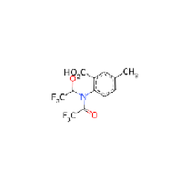 Cc1ccc(N(C(=O)C(F)(F)F)C(=O)C(F)(F)F)c(C(=O)O)c1